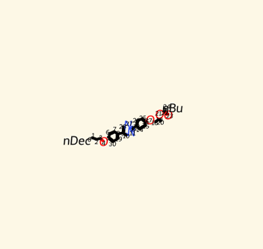 CCCCCCCCCCCCCOc1ccc(-c2cnc(-c3ccc(OCC(C)OC(=O)CCCC)cc3)nc2)cc1